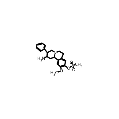 COc1cc2c(cc1OS(C)(=O)=O)CCN1CC(c3ccccc3)C(N)CC21